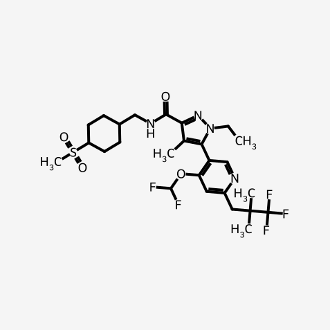 CCn1nc(C(=O)NCC2CCC(S(C)(=O)=O)CC2)c(C)c1-c1cnc(CC(C)(C)C(F)(F)F)cc1OC(F)F